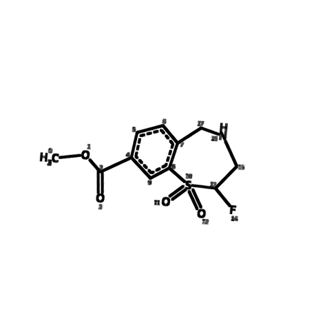 COC(=O)c1ccc2c(c1)S(=O)(=O)C(F)CNC2